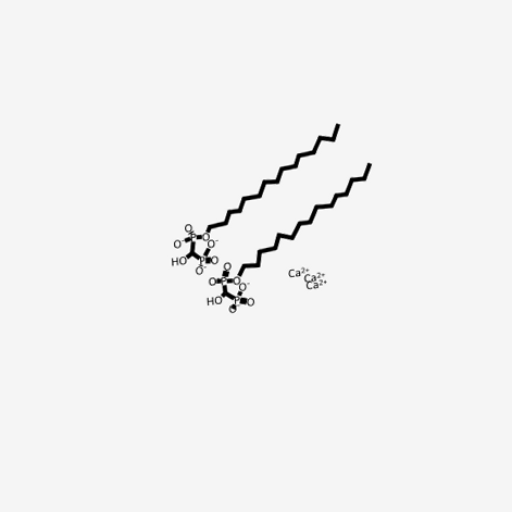 CCCCCCCCCCCCCCCOP(=O)([O-])C(O)P(=O)([O-])[O-].CCCCCCCCCCCCCCCOP(=O)([O-])C(O)P(=O)([O-])[O-].[Ca+2].[Ca+2].[Ca+2]